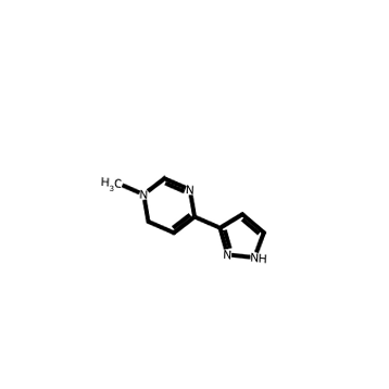 CN1[C]=NC(c2cc[nH]n2)=CC1